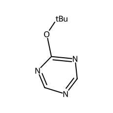 CC(C)(C)Oc1ncncn1